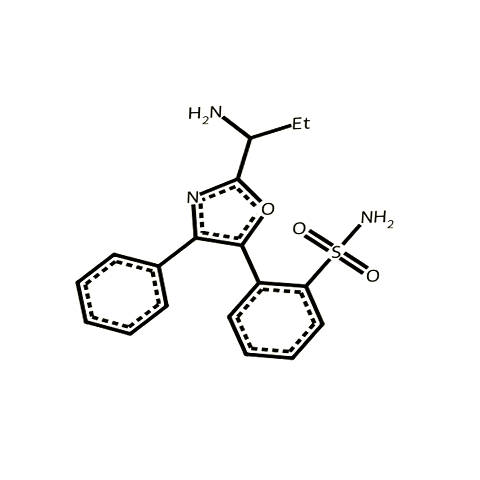 CCC(N)c1nc(-c2ccccc2)c(-c2ccccc2S(N)(=O)=O)o1